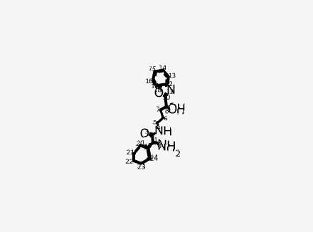 NC(C(=O)NCCCC(O)c1nc2ccccc2o1)C1CCCCC1